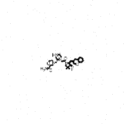 C[C@@H]1CN(CC(=O)N2CC(C)(C)c3[nH]c(=O)c(Cc4ccccc4)cc32)[C@@H](CN2CCOC(C(N)=O)C2)CN1